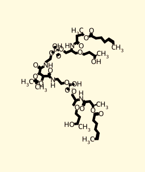 C/C=C\CCCC(=O)O[C@H](C)CC(=O)NC(COCC[C@@H](C)O)COP(=O)(O)OCCNC(=O)C1OC(C)(C)OC1C(=O)NCCOP(=O)(O)OCC(COCC[C@@H](C)O)NC(=O)C[C@@H](C)OC(=O)CCC/C=C\C